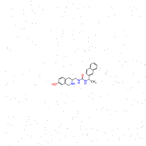 CC(NC(=O)NCC1Cc2ccc(O)cc2CN1)c1ccc2ccccc2c1